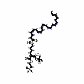 CC/C=C\C/C=C\C/C=C\C/C=C\C/C=C\C/C=C\CCC(=O)NCCCCC(C(=O)OCC[Si](C)(C)C)C(=O)OC(C)(C)C